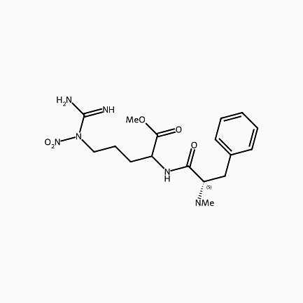 CN[C@@H](Cc1ccccc1)C(=O)NC(CCCN(C(=N)N)[N+](=O)[O-])C(=O)OC